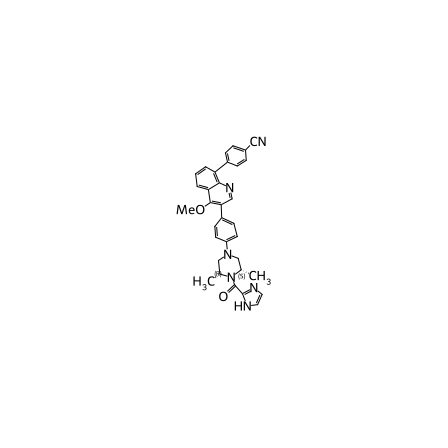 COc1c(-c2ccc(N3C[C@@H](C)N(C(=O)c4ncc[nH]4)[C@@H](C)C3)cc2)cnc2c(-c3ccc(C#N)cc3)cccc12